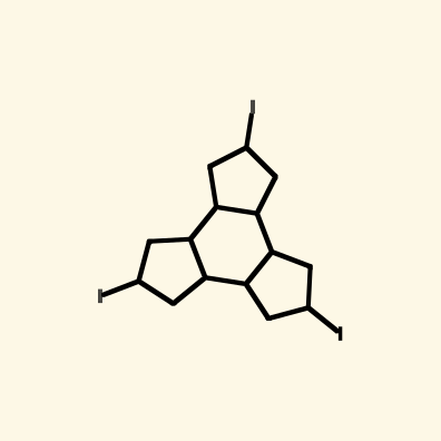 IC1CC2C3CC(I)CC3C3CC(I)CC3C2C1